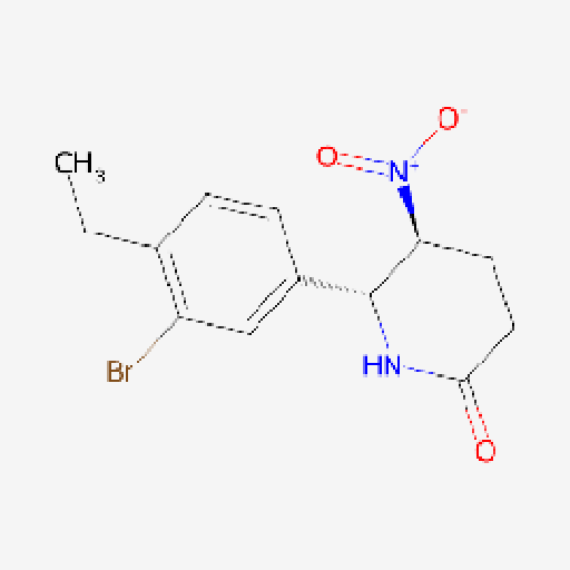 CCc1ccc([C@H]2NC(=O)CC[C@@H]2[N+](=O)[O-])cc1Br